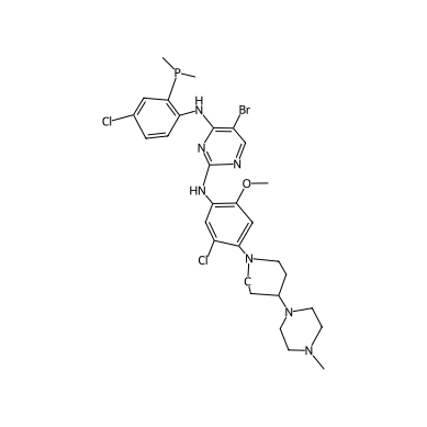 COc1cc(N2CCC(N3CCN(C)CC3)CC2)c(Cl)cc1Nc1ncc(Br)c(Nc2ccc(Cl)cc2P(C)C)n1